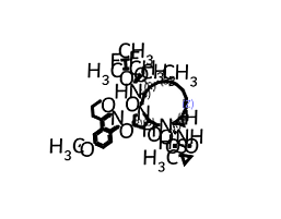 CC[C@@H]1C[C@@H](C)CC/C=C\[C@@H]2C[C@@]2(C(=O)NS(=O)(=O)C2(C)CC2)NC(=O)[C@@H]2C[C@@H](Oc3nc4c(c5cc(OC)ccc35)CCCO4)CN2C(=O)[C@H]1NC(=O)OC(C)(C)C(C)(F)F